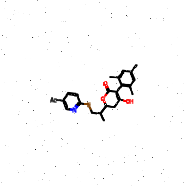 CC(=O)c1ccc(SCC(C)C2CC(O)=C(c3c(C)cc(C)cc3C)C(=O)O2)nc1